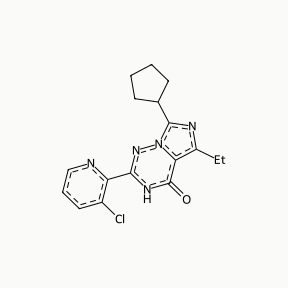 CCc1nc(C2CCCC2)n2nc(-c3ncccc3Cl)[nH]c(=O)c12